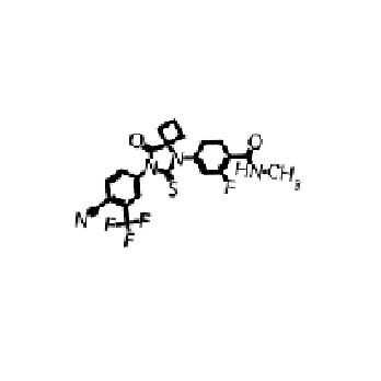 CNC(=O)C1=C(F)C=C(N2C(=S)N(c3ccc(C#N)c(C(F)(F)F)c3)C(=O)C23CCC3)CC1